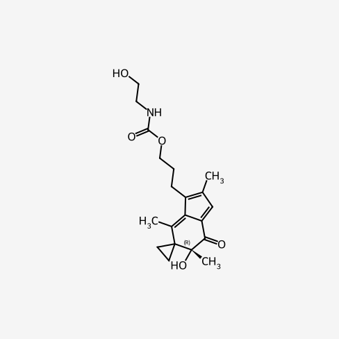 CC1=C(CCCOC(=O)NCCO)C2=C(C)C3(CC3)[C@@](C)(O)C(=O)C2=C1